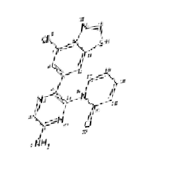 Nc1cnc(-c2cc(Cl)c3ncsc3c2)c(-n2ccccc2=O)n1